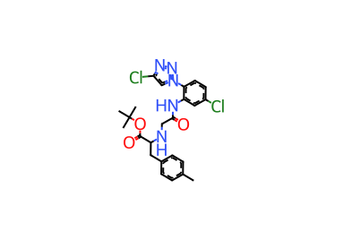 Cc1ccc(CC(NCC(=O)Nc2cc(Cl)ccc2-n2cc(Cl)nn2)C(=O)OC(C)(C)C)cc1